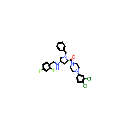 O=C([C@@H]1C[C@H](NCc2ccc(F)cc2F)CN1Cc1ccccc1)N1CCN(c2ccc(Cl)c(Cl)c2)CC1